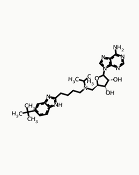 CC(C)N(CCCCc1nc2cc(C(C)(C)C)ccc2[nH]1)C[C@H]1OC(n2cnc3c(N)ncnc32)[C@H](O)[C@@H]1O